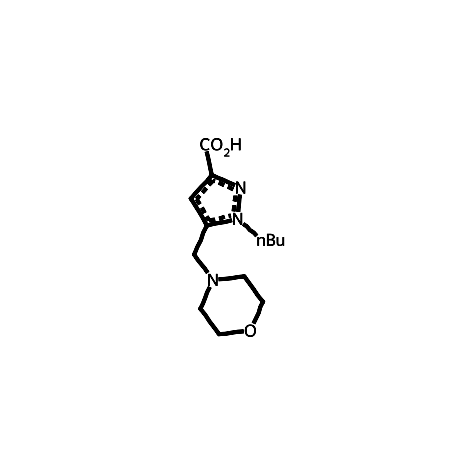 CCCCn1nc(C(=O)O)cc1CN1CCOCC1